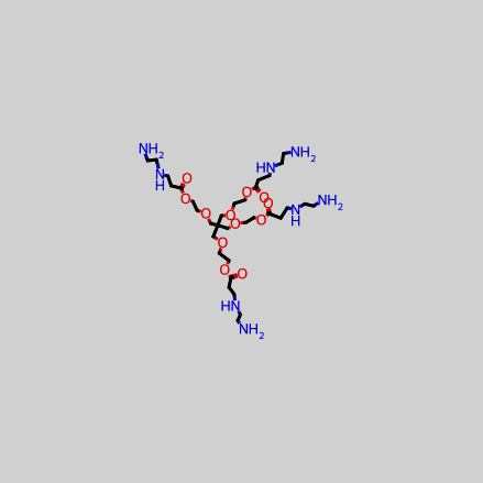 NCCNCCC(=O)OCCOCC(COCCOC(=O)CCNCCN)(COCCOC(=O)CCNCCN)COCCOC(=O)CCNCCN